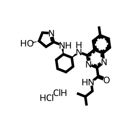 Cc1ccc2nc(C(=O)NCC(C)C)nc(N[C@H]3CCCC[C@H]3NC3=NC[C@@H](O)C3)c2c1.Cl.Cl